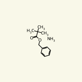 CC(C)(C)C(=O)OCc1ccccc1.N